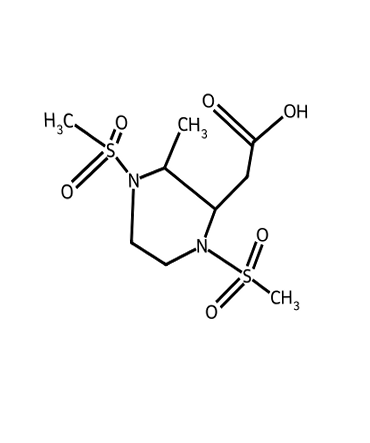 CC1C(CC(=O)O)N(S(C)(=O)=O)CCN1S(C)(=O)=O